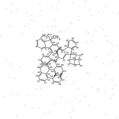 CC1(C)c2ccccc2-c2c(-c3ccccc3N(c3ccc4c(c3)C3(c5ccccc5-4)C4CC5CC6CC3C564)c3ccccc3-c3cccc4cccc(-c5ccccc5)c34)cccc21